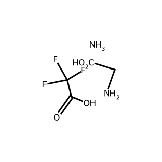 N.NCC(=O)O.O=C(O)C(F)(F)F